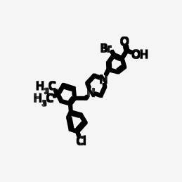 CC1(C)C=CC(CN2CCN(c3ccc(C(=O)O)c(Br)c3)CC2)=C(c2ccc(Cl)cc2)C1